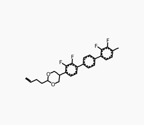 C=CCCC1OCC(c2ccc(-c3ccc(-c4ccc(C)c(F)c4F)cc3)c(F)c2F)CO1